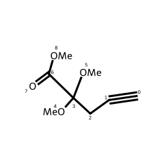 C#CCC(OC)(OC)C(=O)OC